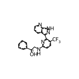 O[C@H](CNc1ccc(C(F)(F)F)c(-c2n[nH]c3ncccc23)n1)c1ccccc1